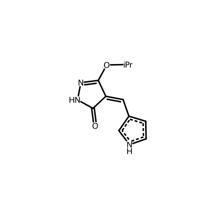 CC(C)OC1=NNC(=O)C1=Cc1cc[nH]c1